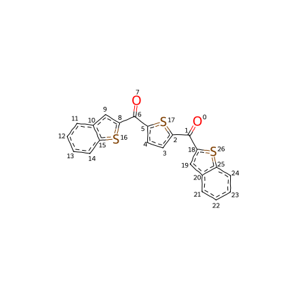 O=C(c1ccc(C(=O)c2cc3ccccc3s2)s1)c1cc2ccccc2s1